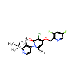 Cc1c(-n2c(C)cc(OCc3ncc(F)cc3F)c(Cl)c2=O)ccn[c]1[Sn]([CH3])([CH3])[CH3]